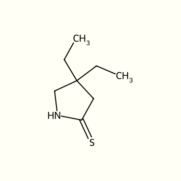 CCC1(CC)CNC(=S)C1